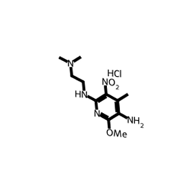 COc1nc(NCCN(C)C)c([N+](=O)[O-])c(C)c1N.Cl